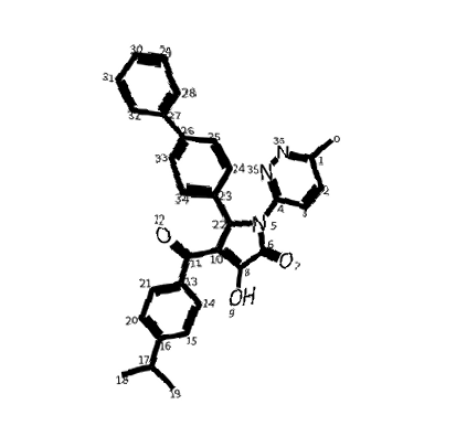 Cc1ccc(N2C(=O)C(O)=C(C(=O)c3ccc(C(C)C)cc3)C2c2ccc(-c3ccccc3)cc2)nn1